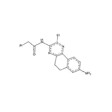 CCc1nc2c(nc1NC(=O)CC(C)C)CCc1cc(N)ccc1-2